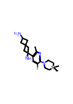 Cc1nc(N2CC[Si](C)(C)CC2)c(F)cc1C1(N)CC2(CC(N)C2)C1